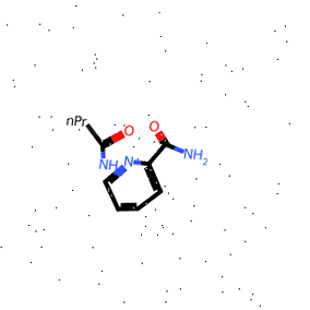 CCCC(N)=O.NC(=O)c1ccccn1